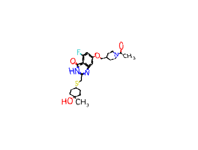 CC(=O)N1CCC(COc2cc(F)c3c(=O)[nH]c(CS[C@H]4CC[C@@](C)(O)CC4)nc3c2)CC1